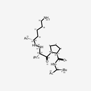 CC[C@H](C)C(NC(=O)[C@@H]1CCCN1C(=O)[C@@H](NN[C@@H](CCCCN)C(C)=O)C(C)C)C(C)=O